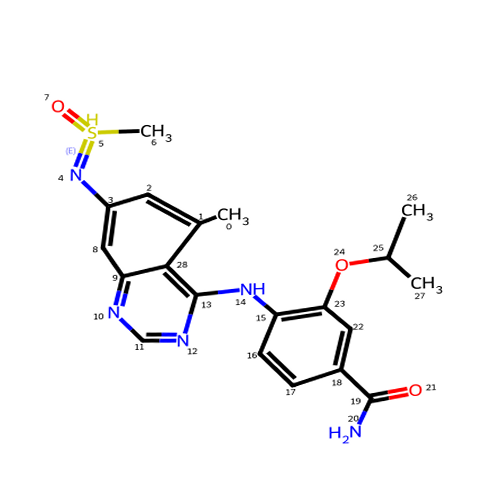 Cc1cc(/N=[SH](\C)=O)cc2ncnc(Nc3ccc(C(N)=O)cc3OC(C)C)c12